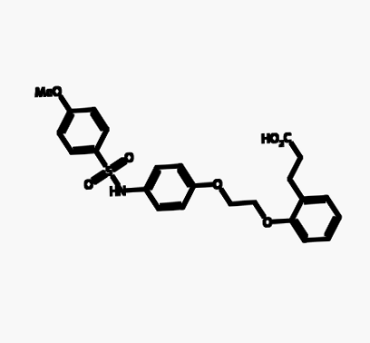 COc1ccc(S(=O)(=O)Nc2ccc(OCCOc3ccccc3CCC(=O)O)cc2)cc1